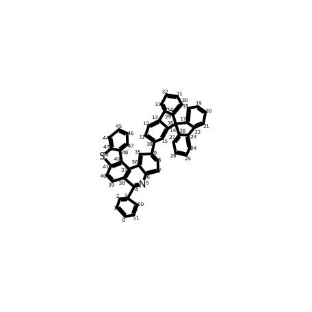 c1ccc(-c2nc3ccc(-c4ccc5c(c4)C4(c6ccccc6-c6ccccc64)c4ccccc4-5)cc3c3c2ccc2sc4ccccc4c23)cc1